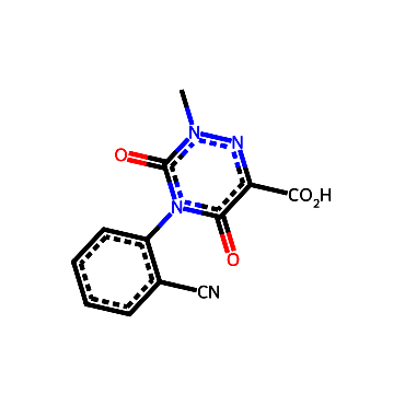 Cn1nc(C(=O)O)c(=O)n(-c2ccccc2C#N)c1=O